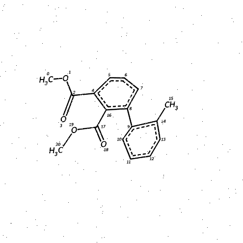 COC(=O)c1cccc(-c2ccccc2C)c1C(=O)OC